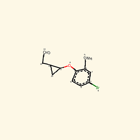 COc1cc(Br)ccc1OC1CC1CC=O